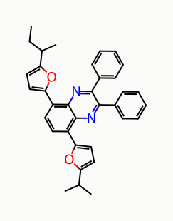 CCC(C)c1ccc(-c2ccc(-c3ccc(C(C)C)o3)c3nc(-c4ccccc4)c(-c4ccccc4)nc23)o1